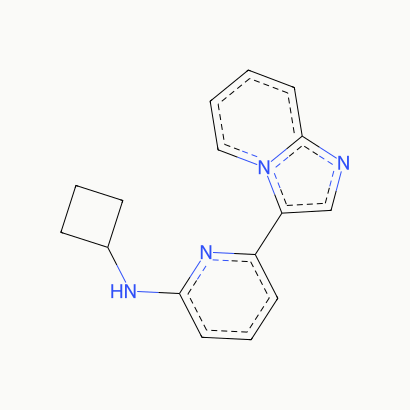 c1cc(NC2CCC2)nc(-c2cnc3ccccn23)c1